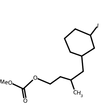 COC(=O)OCCC(C)CC1CCCC(I)C1